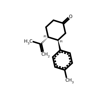 C=C(C)[C@@H]1CCC(=O)C[C@H]1c1ccc(C)cc1